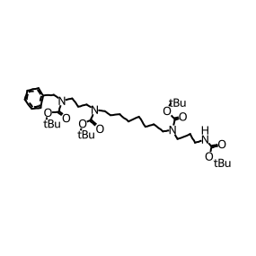 CC(C)(C)OC(=O)NCCCN(CCCCCCCCN(CCCN(Cc1ccccc1)C(=O)OC(C)(C)C)C(=O)OC(C)(C)C)C(=O)OC(C)(C)C